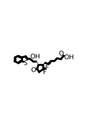 O=C(O)CCCC=CC[C@@H]1[C@@H](CCC(O)c2cc3ccccc3s2)C(=O)CC1(F)F